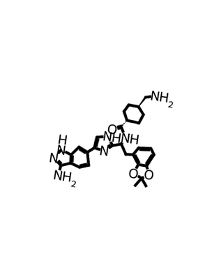 CC1(C)Oc2cccc(CC(NC(=O)[C@H]3CC[C@H](CN)CC3)c3nc(-c4ccc5c(N)n[nH]c5c4)c[nH]3)c2O1